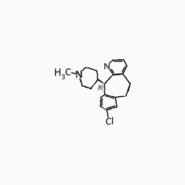 CN1CCC([C@@H]2c3ccc(Cl)cc3CCc3cccnc32)CC1